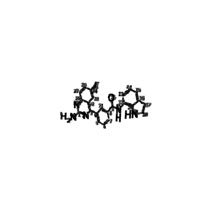 Nc1nc(-c2cccc(C(=O)Nc3cccc4cc[nH]c34)c2)c2cc(F)ccc2n1